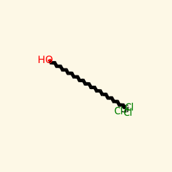 OCCCCCCCCCCCCCCCCCCCCCCCCCC[Si](Cl)(Cl)Cl